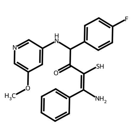 COc1cncc(NC(C(=O)/C(S)=C(/N)c2ccccc2)c2ccc(F)cc2)c1